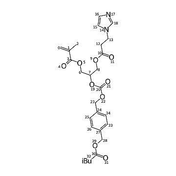 C=C(C)C(=O)OCC(COC(=O)CCn1ccnc1)OC(=O)OCc1ccc(COC(=O)C(C)CC)cc1